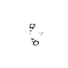 Cn1/c(=N\N=N\c2sc3ccccc3[n+]2C)sc2ccccc21.F[B-](F)(F)F